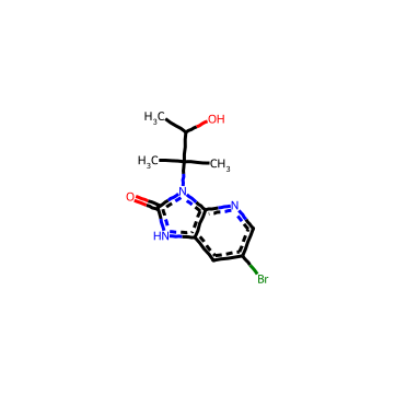 CC(O)C(C)(C)n1c(=O)[nH]c2cc(Br)cnc21